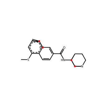 C=CN/C=C(\C=C/c1ccccc1SC)C(=O)NC1CN2CCC1CC2